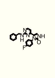 O=c1[nH]cc(-c2ccnc(NCc3ccccc3)n2)n1-c1ccc(F)cc1